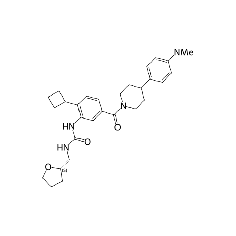 CNc1ccc(C2CCN(C(=O)c3ccc(C4CCC4)c(NC(=O)NC[C@@H]4CCCO4)c3)CC2)cc1